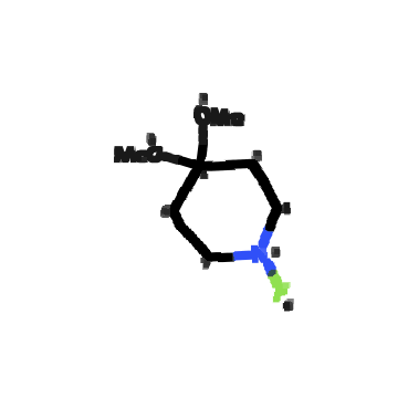 COC1(OC)CCN(F)CC1